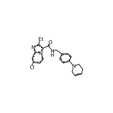 CCc1nc2cc(Cl)ccn2c1C(=O)NCc1ccc(N2CC=CCC2)cc1